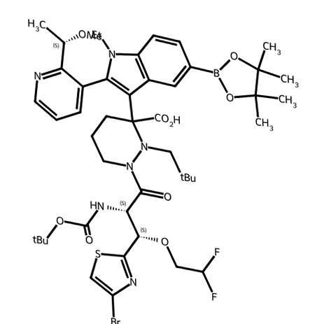 CCn1c(-c2cccnc2[C@H](C)OC)c(C2(C(=O)O)CCCN(C(=O)[C@@H](NC(=O)OC(C)(C)C)[C@H](OCC(F)F)c3nc(Br)cs3)N2CC(C)(C)C)c2cc(B3OC(C)(C)C(C)(C)O3)ccc21